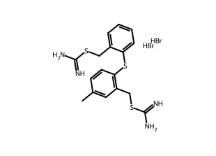 Br.Br.Cc1ccc(Sc2ccccc2CSC(=N)N)c(CSC(=N)N)c1